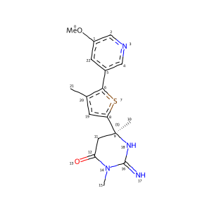 COc1cncc(-c2sc([C@]3(C)CC(=O)N(C)C(=N)N3)cc2C)c1